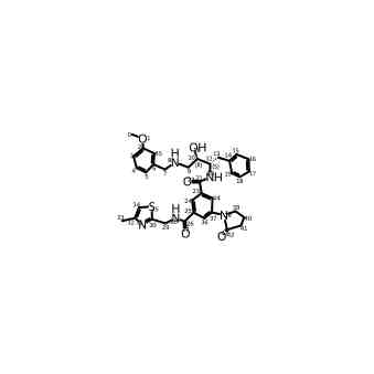 COc1cccc(CNC[C@@H](O)[C@H](Cc2ccccc2)NC(=O)c2cc(C(=O)NCc3nc(C)cs3)cc(N3CCCC3=O)c2)c1